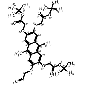 Cc1c2cc(OCC=O)c(OCC(=O)OC(C)(C)C)cc2c(C)c2cc(OCC(=O)OC(C)(C)C)c(OCC(=O)OC(C)(C)C)cc12